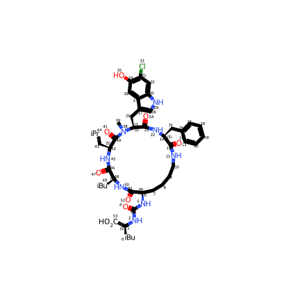 CCC(C)[C@H](NC(=O)N[C@@H]1CCCCNC(=O)[C@H](Cc2ccccc2)NC(=O)[C@H](Cc2c[nH]c3cc(Cl)c(O)cc23)N(C)C(=O)[C@H](CC(C)C)NC(=O)[C@H](C(C)CC)NC1=O)C(=O)O